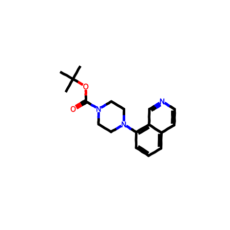 CC(C)(C)OC(=O)N1CCN(c2cccc3ccncc23)CC1